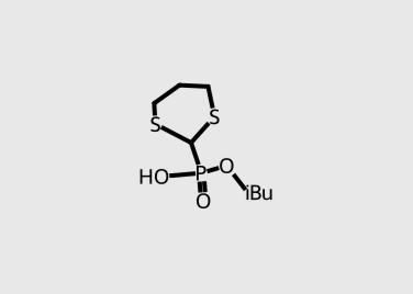 CCC(C)OP(=O)(O)C1SCCCS1